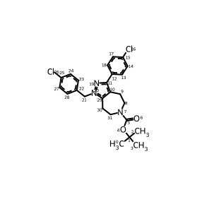 CC(C)(C)OC(=O)N1CCc2c(-c3ccc(Cl)cc3)nn(Cc3ccc(Cl)cc3)c2CC1